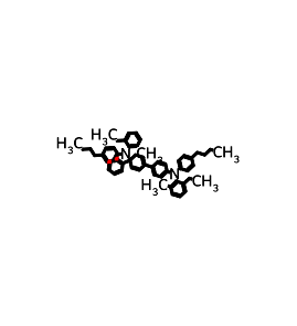 CCCCc1ccc(N(c2ccc(C3=CCC(c4ccccc4)(N(c4ccc(CCCC)cc4)c4c(C)cccc4CC)C=C3)cc2)c2c(C)cccc2CC)cc1